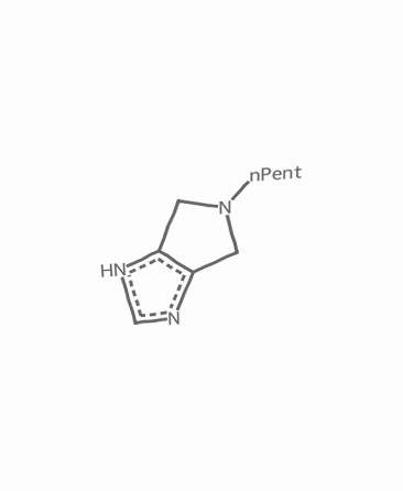 CCCCCN1Cc2nc[nH]c2C1